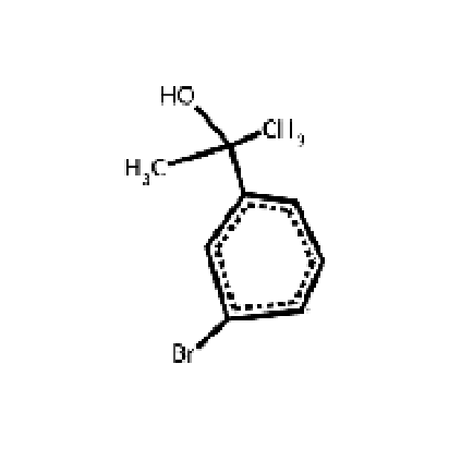 CC(C)(O)c1cc[c]c(Br)c1